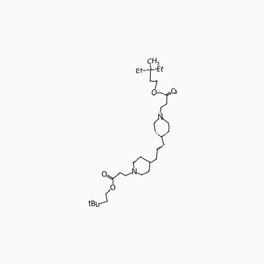 CCC(C)(CC)CCOC(=O)CCN1CCC(CCCC2CCN(CCC(=O)OCCC(C)(C)C)CC2)CC1